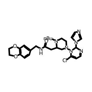 CCCCN1CCN(N2C(Cl)=CC=NC2n2ccnc2)CC1CC(=O)NCc1ccc2c(c1)OCCO2